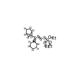 CCO[Si](OCC)(OCC)SSS[SH](C1CCCCC1)C1CC2CCC1C2